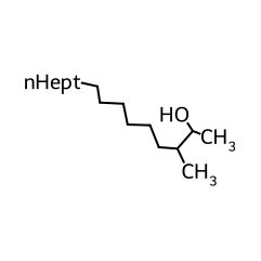 CCCCCCCCCCCCCC(C)C(C)O